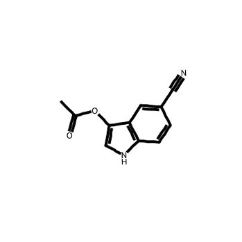 CC(=O)Oc1c[nH]c2ccc(C#N)cc12